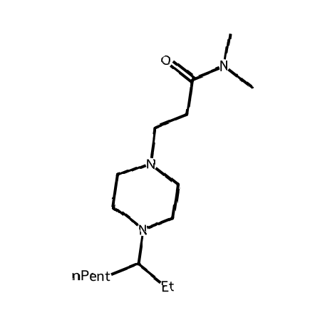 CCCCCC(CC)N1CCN(CCC(=O)N(C)C)CC1